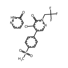 CS(=O)(=O)c1ccc(-c2cnn(CC(F)(F)F)c(=O)c2Cl)cc1.O=c1cccn[nH]1